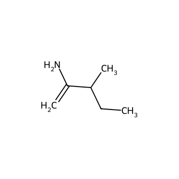 C=C(N)C(C)CC